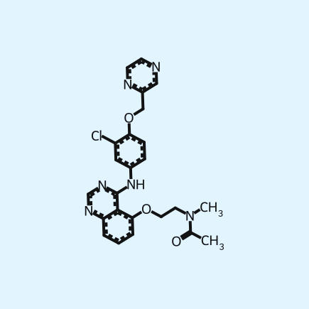 CC(=O)N(C)CCOc1cccc2ncnc(Nc3ccc(OCc4cnccn4)c(Cl)c3)c12